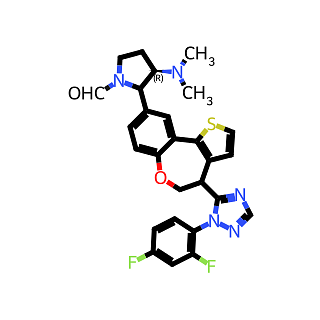 CN(C)[C@@H]1CCN(C=O)C1c1ccc2c(c1)-c1sccc1C(c1ncnn1-c1ccc(F)cc1F)CO2